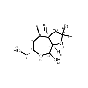 CCC1(CC)O[C@@H]2[C@H](C)C[C@@H](CO)OC(O)[C@@H]2O1